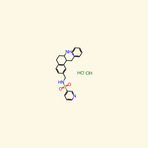 Cl.Cl.NC1CCc2ccc(CNS(=O)(=O)c3cccnc3)cc2C1Cc1ccccc1